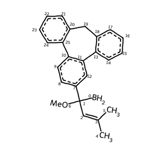 BC(C=C(C)C)(OC)c1ccc2c(c1)-c1ccccc1Cc1ccccc1-2